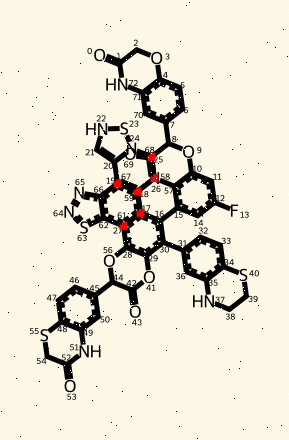 O=C1COc2ccc(C3Oc4cc(F)[c]c(-c5c(C6=CC7=CNSN7C=C6)cc6c(c5-c5ccc7c(c5)NCCS7)OC(=O)C(c5ccc7c(c5)NC(=O)CS7)O6)c4N(c4ccc5snnc5c4)C3=O)cc2N1